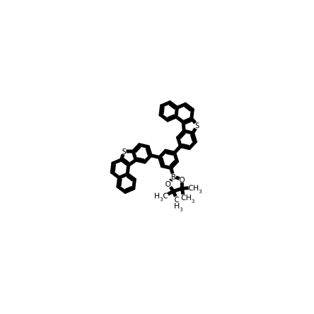 CC1(C)OB(c2cc(-c3ccc4sc5ccc6ccccc6c5c4c3)cc(-c3ccc4sc5ccc6ccccc6c5c4c3)c2)OC1(C)C